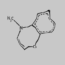 CN1C=COc2ccccc21